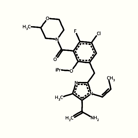 C=C(N)c1c(C)nc(Cc2cc(Cl)c(F)c(C(=O)N3CCOC(C)C3)c2OC(C)C)n1/C=C\C